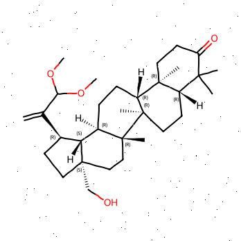 C=C(C(OC)OC)[C@@H]1CC[C@]2(CO)CC[C@]3(C)[C@H](CC[C@@H]4[C@@]5(C)CCC(=O)C(C)(C)[C@@H]5CC[C@]43C)[C@@H]12